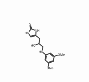 COc1cc(NCC(O)Cc2c[nH]c(=S)[nH]2)cc(OC)c1